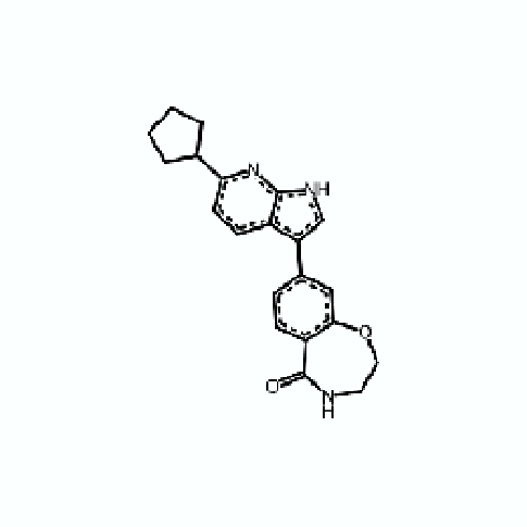 O=C1NCCOc2cc(-c3c[nH]c4nc(C5CCCC5)ccc34)ccc21